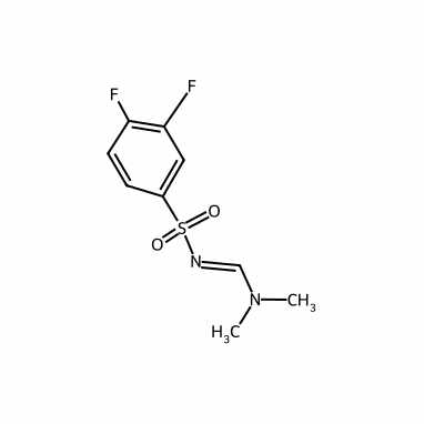 CN(C)/C=N/S(=O)(=O)c1ccc(F)c(F)c1